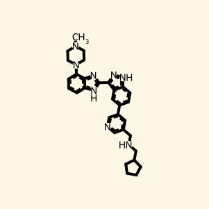 CN1CCN(c2cccc3[nH]c(-c4n[nH]c5ccc(-c6cncc(CNCC7CCCC7)c6)cc45)nc23)CC1